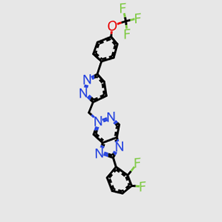 Fc1cccc(-c2nc3cnn(Cc4ccc(-c5ccc(OC(F)(F)F)cc5)nn4)cc-3n2)c1F